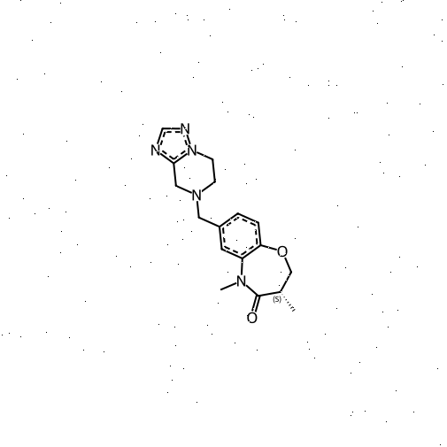 C[C@H]1COc2ccc(CN3CCn4ncnc4C3)cc2N(C)C1=O